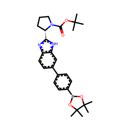 CC(C)(C)OC(=O)N1CCC[C@H]1c1nc2ccc(-c3ccc(B4OC(C)(C)C(C)(C)O4)cc3)cc2[nH]1